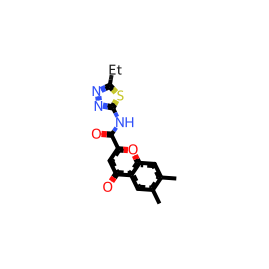 CCc1nnc(NC(=O)c2cc(=O)c3cc(C)c(C)cc3o2)s1